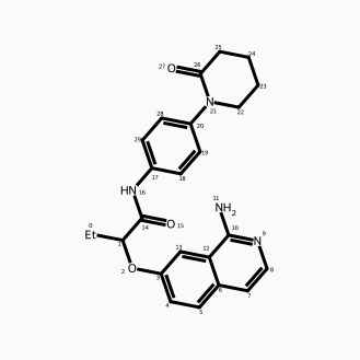 CCC(Oc1ccc2ccnc(N)c2c1)C(=O)Nc1ccc(N2CCCCC2=O)cc1